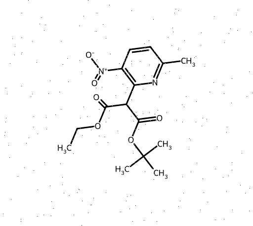 CCOC(=O)C(C(=O)OC(C)(C)C)c1nc(C)ccc1[N+](=O)[O-]